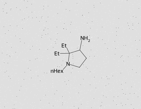 CCCCCCN1CCC(N)C1(CC)CC